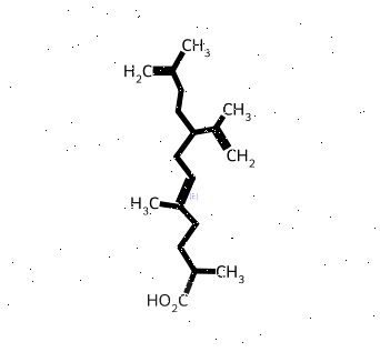 C=C(C)CCC(C/C=C(\C)CCC(C)C(=O)O)C(=C)C